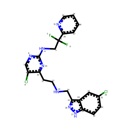 FC(F)(CNc1ncc(Cl)c(CCNCc2n[nH]c3ccc(Cl)cc23)n1)c1ccccn1